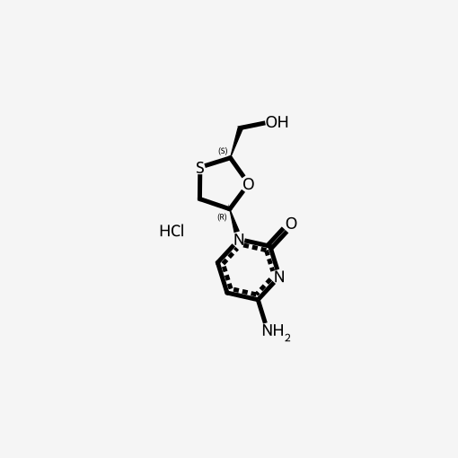 Cl.Nc1ccn([C@H]2CS[C@@H](CO)O2)c(=O)n1